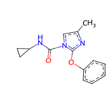 Cc1cn(C(=O)NC2CC2)c(Oc2ccccc2)n1